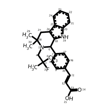 CC(C)(F)CN1C(c2ccc(C=CC(=O)O)cc2)c2[nH]c3ccccc3c2CC1(C)C